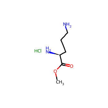 COC(=O)[C@@H](N)CCCN.Cl